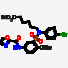 CCOC(=O)CCCCCN(c1ccc(Br)cc1)S(=O)(=O)c1cc(NC(=O)c2ncco2)ccc1OC